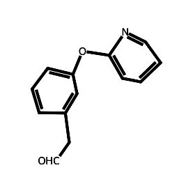 O=CCc1cccc(Oc2ccccn2)c1